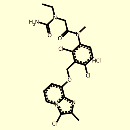 CCN(CC(=O)N(C)c1ccc(Cl)c(COc2cccn3c(Cl)c(C)nc23)c1Cl)C(N)=O.Cl